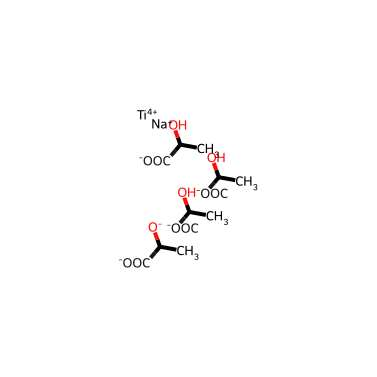 CC(O)C(=O)[O-].CC(O)C(=O)[O-].CC(O)C(=O)[O-].CC([O-])C(=O)[O-].[Na+].[Ti+4]